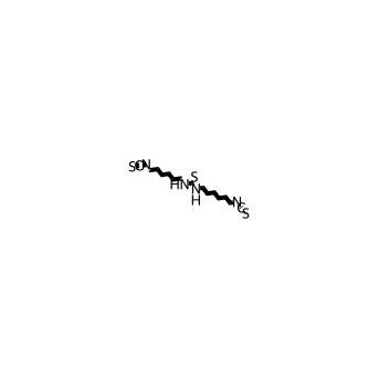 S=C=NCCCCCCNC(=S)NCCCCCCN=C=S